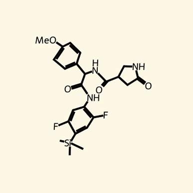 COc1ccc(C(NC(=O)C2CNC(=O)C2)C(=O)Nc2cc(F)c([Si](C)(C)C)cc2F)cc1